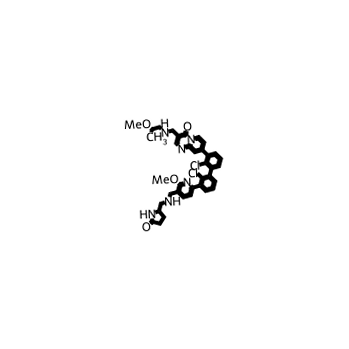 COc1nc(-c2cccc(-c3cccc(-c4ccn5c(=O)c(CNCC(C)OC)cnc5c4)c3Cl)c2Cl)ccc1CNCC1CCC(=O)N1